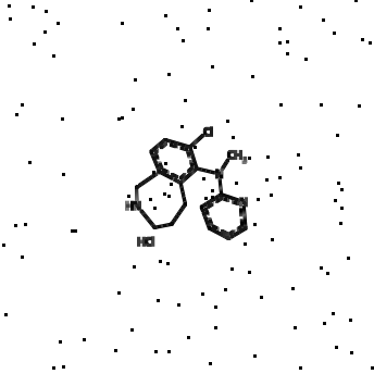 CN(c1ccccn1)c1c(Cl)ccc2c1CCCNC2.Cl